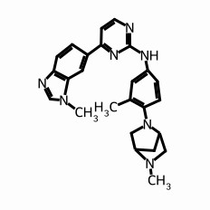 Cc1cc(Nc2nccc(-c3ccc4ncn(C)c4c3)n2)ccc1N1CC2CC1CN2C